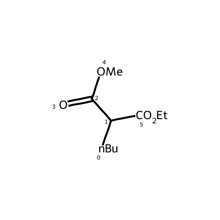 CCCCC(C(=O)OC)C(=O)OCC